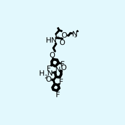 CC(C)C[C@H](NCCCOc1cc(F)c(-n2c(N)c(C(=O)c3ccc(F)cc3F)ccc2=O)c(F)c1)C(=O)OCCN(C)C